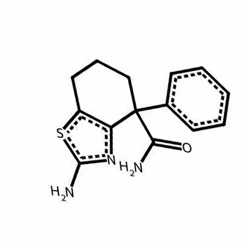 NC(=O)C1(c2ccccc2)CCCc2sc(N)nc21